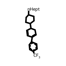 CCCCCCCC1CCC(C2C=CC(c3ccc(C(F)(F)F)cc3)=CC2)CC1